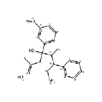 C=C(C)CC(O)(c1cccc(OC)c1)C(C)C(CN)c1ccccc1.Cl